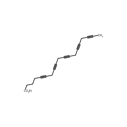 CC#CCC#CCC#CCC#CCC#CCCCC(=O)OCC